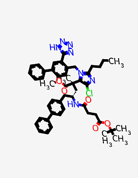 CCCCc1nc(Cl)c([C@@](C)(C[C@@H](Cc2ccc(-c3ccccc3)cc2)NC(=O)CCC(=O)OC(C)(C)C)C(=O)OC)n1Cc1ccc(-c2ccccc2)cc1-c1nnn[nH]1